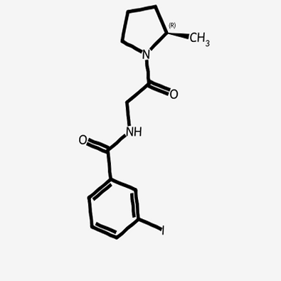 C[C@@H]1CCCN1C(=O)CNC(=O)c1cccc(I)c1